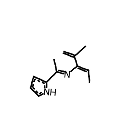 C=C(C)C(=C/C)/N=C(\C)c1ccc[nH]1